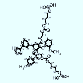 COc1ccccc1Oc1c(OCCOC(=O)OCCCCON(O)O)nc(-c2ccnc(-c3nnn[nH]3)c2)nc1N(COC(=O)OCCCCON(O)O)S(=O)(=O)c1ccc(C)cn1